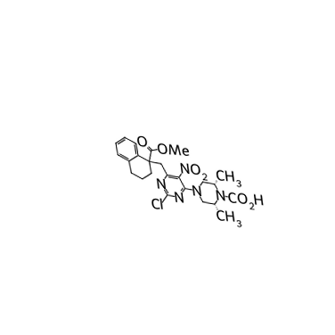 COC(=O)C1(Cc2nc(Cl)nc(N3C[C@@H](C)N(C(=O)O)[C@@H](C)C3)c2[N+](=O)[O-])CCCc2ccccc21